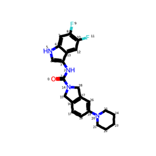 O=C(Nc1c[nH]c2cc(F)c(F)cc12)N1Cc2ccc(N3CCCCC3)cc2C1